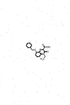 CCn1c(=O)c(C(=O)O)nc2c(OCc3ccccc3)cccc21